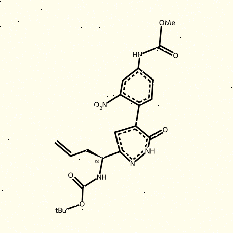 C=CC[C@H](NC(=O)OC(C)(C)C)c1cc(-c2ccc(NC(=O)OC)cc2[N+](=O)[O-])c(=O)[nH]n1